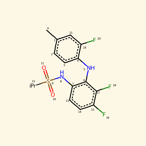 Cc1ccc(Nc2c(NS(=O)(=O)C(C)C)ccc(F)c2F)c(F)c1